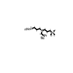 CCCCCCCCCCCCN(CCC[N+](C)(C)C)CC(C)C.[Br-]